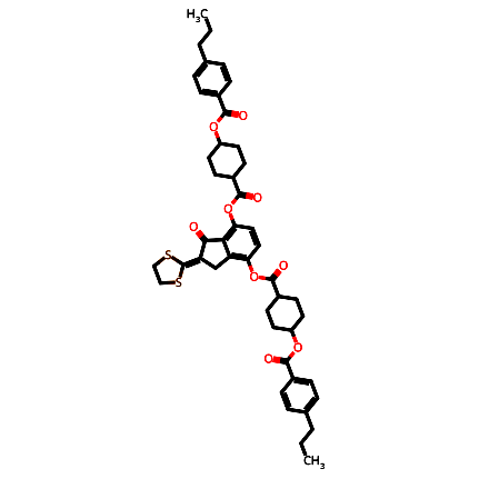 CCCc1ccc(C(=O)OC2CCC(C(=O)Oc3ccc(OC(=O)C4CCC(OC(=O)c5ccc(CCC)cc5)CC4)c4c3CC(=C3SCCS3)C4=O)CC2)cc1